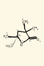 CC1(C)C[C@@](C)(C(=O)O)NC1=O